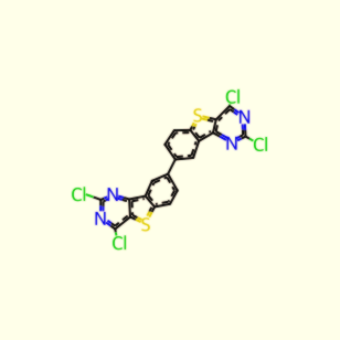 Clc1nc(Cl)c2sc3ccc(-c4ccc5sc6c(Cl)nc(Cl)nc6c5c4)cc3c2n1